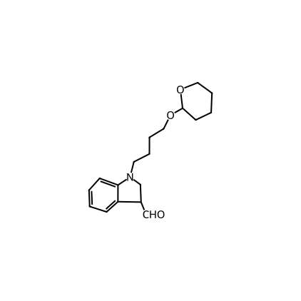 O=CC1CN(CCCCOC2CCCCO2)c2ccccc21